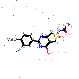 COc1ccc(-c2nc(O)c3c(n2)CS(=O)(=NC(=O)C(F)(F)F)C3)cc1F